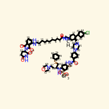 CC1(CNC(=O)CCCCCCCCCCNc2cccc3c2C(=O)N(C2CCC(=O)NC2=O)C3=O)CCC(c2ccc(Cl)cc2)=C(CN2CCN(c3ccc(C(=O)NSc4ccc(N[C@H](CCN5CCOCC5)CSc5ccccc5)c(S(=O)(=O)C(F)(F)F)c4)cc3)CC2)C1